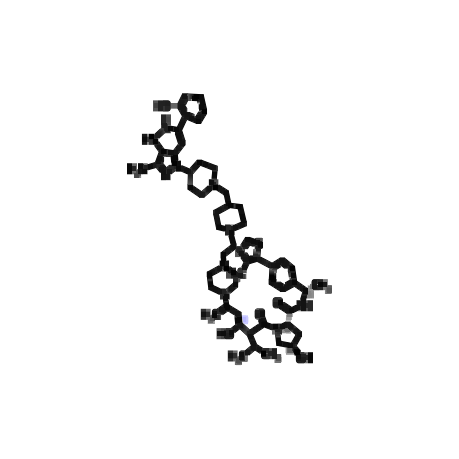 C=C(/C=C(\O)C(C(=O)N1C[C@H](O)C[C@H]1C(=O)N[C@@H](C)c1ccc(-c2scnc2C)cc1)C(C)C)N1CCN(CCN2CCC(CN3CCC(n4nc(N)c5c4C=C(c4ccccc4O)NN5)CC3)CC2)CC1